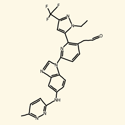 CCn1nc(C(F)(F)F)cc1-c1nc(-n2cnc3cc(Nc4ccc(C)nn4)ccc32)ccc1CC=O